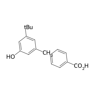 Cc1cc(O)cc(C(C)(C)C)c1.O=C(O)c1ccccc1